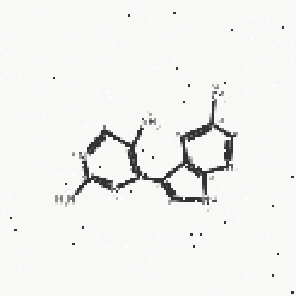 Nc1ncc(N)c(-c2c[nH]c3ncc(C(F)(F)F)cc23)n1